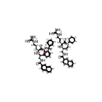 C[C@@H](N1CC[C@@H](CNC(=O)c2ccc3ccccc3c2)N[C@@H](CCCNC(=N)N)C1=O)C(F)(c1ccccc1)c1ccccc1.N=C(N)NCCC[C@@H]1N[C@H](CNC(=O)c2ccc3ccccc3c2)CCN(C2CCCCC2)C1=O